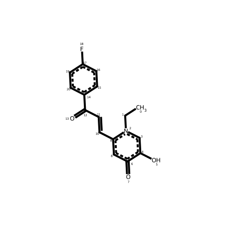 CCn1cc(O)c(=O)cc1C=CC(=O)c1ccc(F)cc1